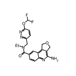 CCN(Cc1ccc(OC(F)F)nn1)C(=O)c1ccc2nc(N)c3c(c2c1)COC3